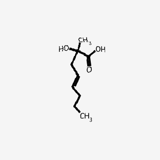 CCC/C=C/CC(C)(O)C(=O)O